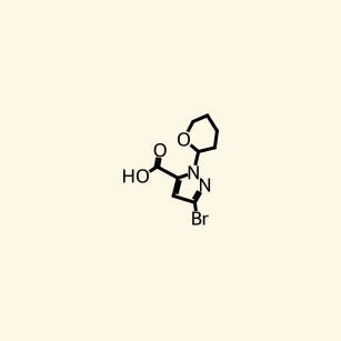 O=C(O)c1cc(Br)nn1C1CCCCO1